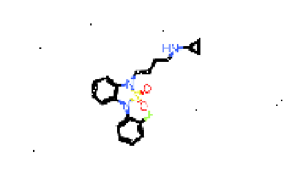 O=S1(=O)N(CCCCNC2CC2)c2ccccc2N1c1ccccc1F